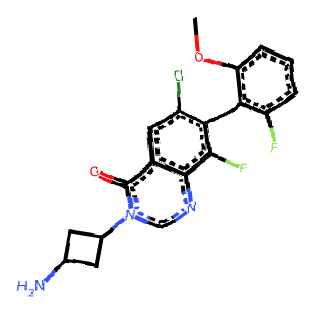 COc1cccc(F)c1-c1c(Cl)cc2c(=O)n(C3CC(N)C3)cnc2c1F